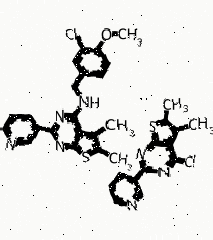 COc1ccc(CNc2nc(-c3cccnc3)nc3sc(C)c(C)c23)cc1Cl.Cc1sc2nc(-c3cccnc3)nc(Cl)c2c1C